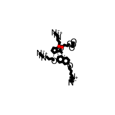 C[C@H](CCCOS(C)(=O)=O)C1CC[C@@H](C)[C@]1(C)C(C[C@H]1C[C@H](OCCCN=[N+]=[N-])CC2C[C@H](OCCCN=[N+]=[N-])CC[C@@]21C)OCCCN=[N+]=[N-]